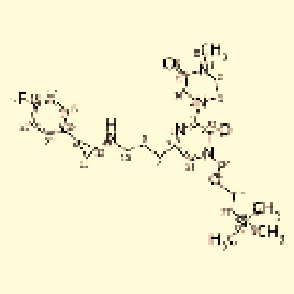 CN1CCN(c2nc(CCCN[C@@H]3C[C@H]3c3ccc(F)cc3)cn(COCC[Si](C)(C)C)c2=O)CC1=O